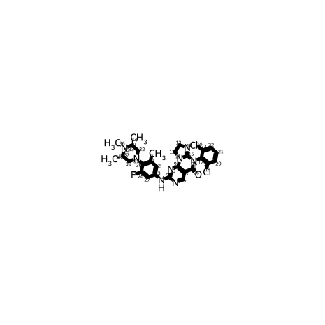 Cc1cc(Nc2ncc3c(n2)N2CCN=C2N(c2c(Cl)cccc2Cl)C3=O)cc(F)c1N1C[C@@H](C)N(C)[C@@H](C)C1